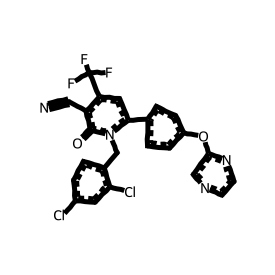 N#Cc1c(C(F)(F)F)cc(-c2ccc(Oc3cnccn3)cc2)n(Cc2ccc(Cl)cc2Cl)c1=O